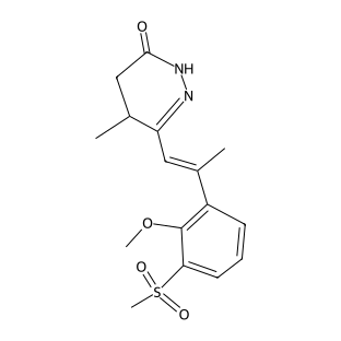 COc1c(C(C)=CC2=NNC(=O)CC2C)cccc1S(C)(=O)=O